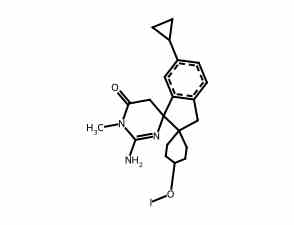 CN1C(=O)CC2(N=C1N)c1cc(C3CC3)ccc1CC21CCC(OI)CC1